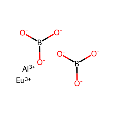 [Al+3].[Eu+3].[O-]B([O-])[O-].[O-]B([O-])[O-]